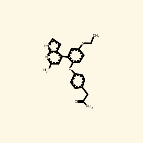 CCSc1ccc(Oc2ccc(CC(N)=O)cc2)c(-c2cc(C)nc3[nH]ccc23)c1